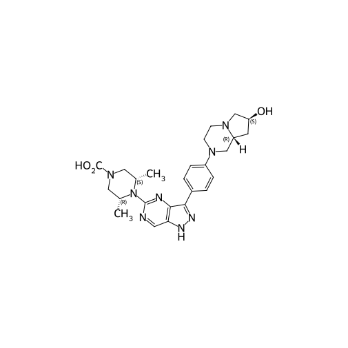 C[C@@H]1CN(C(=O)O)C[C@H](C)N1c1ncc2[nH]nc(-c3ccc(N4CCN5C[C@@H](O)C[C@@H]5C4)cc3)c2n1